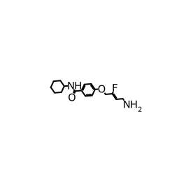 NC/C=C(\F)COc1ccc(C(=O)NC2CCCCC2)cc1